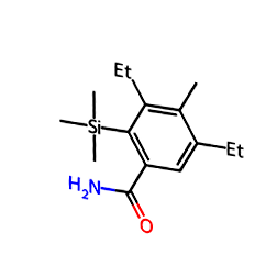 CCc1cc(C(N)=O)c([Si](C)(C)C)c(CC)c1C